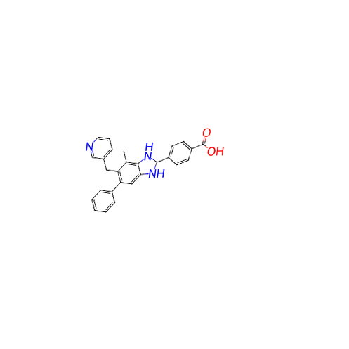 Cc1c(Cc2cccnc2)c(-c2ccccc2)cc2c1NC(c1ccc(C(=O)O)cc1)N2